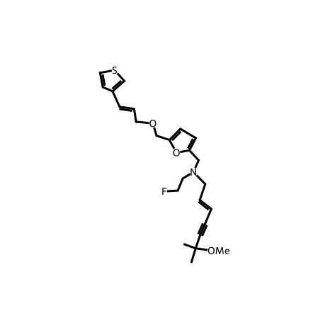 COC(C)(C)C#CC=CCN(CCF)Cc1ccc(COCC=Cc2ccsc2)o1